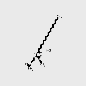 CCCCCCCCCCCCCCCCCC(=O)N[C@@H](CCCNC(=N)N)C(=O)OCC.Cl